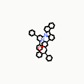 C1=C(c2ccccc2)c2ccccc2Oc2ccc(-c3cccc4c5c6ccccc6ccc5n(-c5cc(-c6ccccc6)cc(-c6ccccc6)n5)c34)cc21